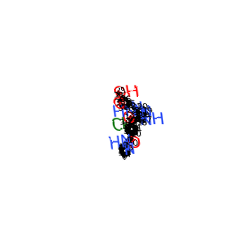 O=C(Nc1ccccn1)c1ccc(C(=O)c2c[nH]c3ncnc(N[C@@H]4CC[C@H](CO)OC4)c23)c(Cl)c1